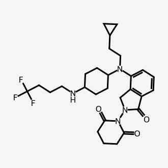 O=C1c2cccc(N(CCC3CC3)C3CCC(NCCCC(F)(F)F)CC3)c2CN1N1C(=O)CCCC1=O